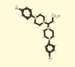 CC(=O)c1ccc(N2CCN(C(CC(=O)O)N3CCN(c4ccc(C(C)=O)cc4)CC3)CC2)cc1